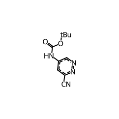 CC(C)(C)OC(=O)Nc1cnnc(C#N)c1